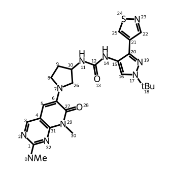 CNc1ncc2cc(N3CCC(NC(=O)Nc4cn(C(C)(C)C)nc4-c4cnsc4)C3)c(=O)n(C)c2n1